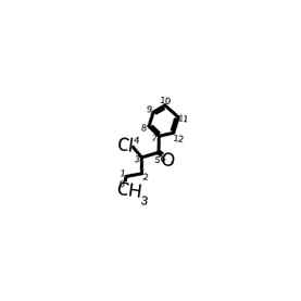 CCCC(Cl)C(=O)c1ccccc1